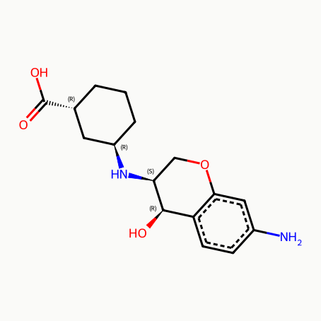 Nc1ccc2c(c1)OC[C@H](N[C@@H]1CCC[C@@H](C(=O)O)C1)[C@@H]2O